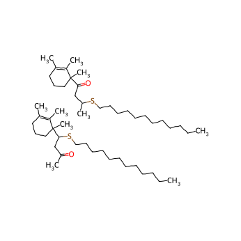 CCCCCCCCCCCCSC(C)CC(=O)C1(C)CCCC(C)=C1C.CCCCCCCCCCCCSC(CC(C)=O)C1(C)CCCC(C)=C1C